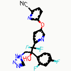 N#Cc1ccc(Oc2ccc(C(F)(F)C(O)(Cn3cnnn3)c3ccc(F)cc3F)nc2)cn1